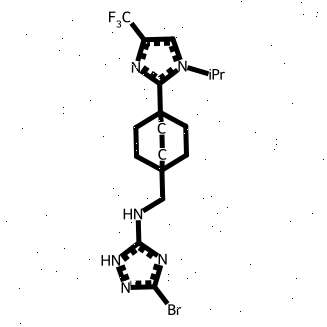 CC(C)n1cc(C(F)(F)F)nc1C12CCC(CNc3nc(Br)n[nH]3)(CC1)CC2